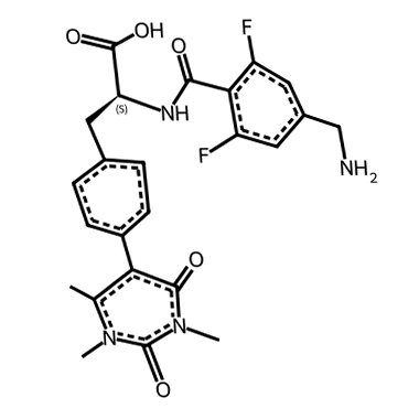 Cc1c(-c2ccc(C[C@H](NC(=O)c3c(F)cc(CN)cc3F)C(=O)O)cc2)c(=O)n(C)c(=O)n1C